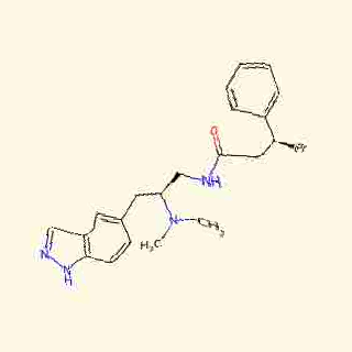 CC(C)[C@@H](CC(=O)NC[C@H](Cc1ccc2[nH]ncc2c1)N(C)C)c1ccccc1